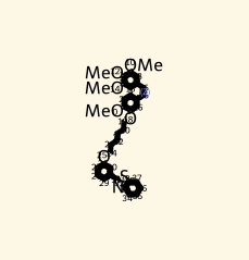 COc1ccc(/C=C\c2cc(OC)c(OC)c(OC)c2)cc1OCCCCCCOc1cccc(-c2nc3ccccc3s2)c1